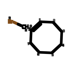 C1=CCCCCCC1.CBr